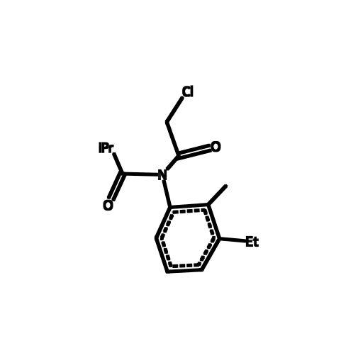 CCc1cccc(N(C(=O)CCl)C(=O)C(C)C)c1C